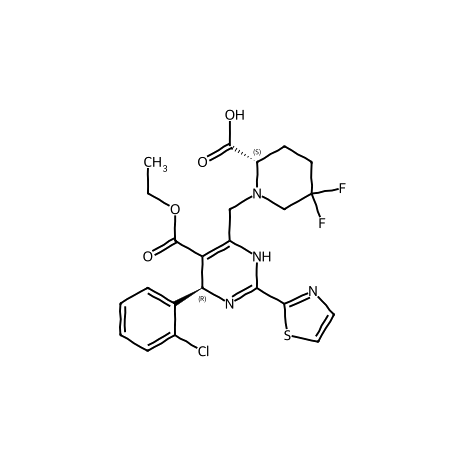 CCOC(=O)C1=C(CN2CC(F)(F)CC[C@H]2C(=O)O)NC(c2nccs2)=N[C@H]1c1ccccc1Cl